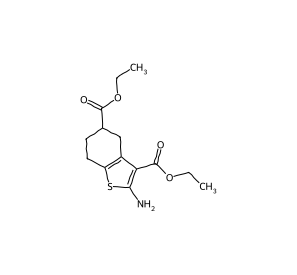 CCOC(=O)c1c(N)sc2c1CC(C(=O)OCC)CC2